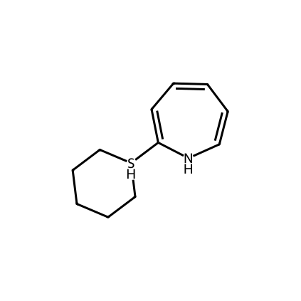 C1=CC=C([SH]2CCCCC2)NC=C1